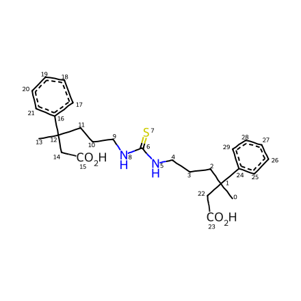 CC(CCCNC(=S)NCCCC(C)(CC(=O)O)c1ccccc1)(CC(=O)O)c1ccccc1